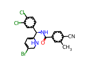 Cc1cc(C(=O)N[C@@H](C2=CC=C(Br)CN2)c2ccc(Cl)c(Cl)c2)ccc1C#N